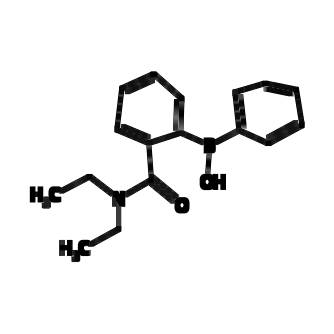 CCN(CC)C(=O)c1ccccc1B(O)c1ccccc1